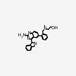 CN(CCO)Cc1ccccc1-c1ccc2nc(N)nc(C3[N]Cc4ccccc43)c2c1